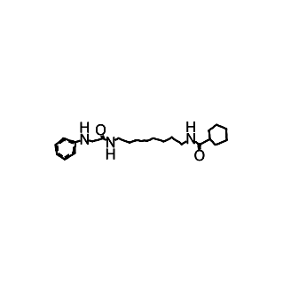 O=C(CNc1ccccc1)NCCCCCCCCNC(=O)C1CCCCC1